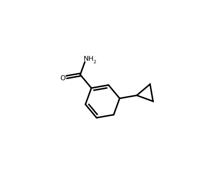 NC(=O)C1=CC(C2CC2)CC=C1